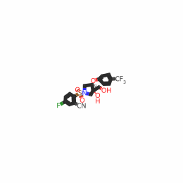 N#Cc1cc(F)ccc1S(=O)(=O)N1C[C@H](Oc2ccc(C(F)(F)F)cc2)[C@@](O)(CO)C1